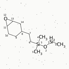 C[SiH2]O[Si](C)(C)CCC1CCC2OC2C1